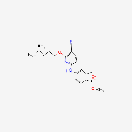 COB1OCc2cc(Nc3ccc(C#N)c(OCCCC(C)C)n3)ccc21